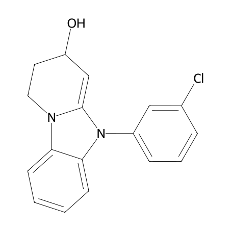 OC1C=C2N(CC1)c1ccccc1N2c1cccc(Cl)c1